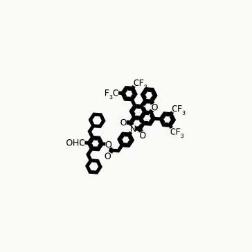 O=Cc1c(CC2CCCCC2)cc(OC(=O)Cc2ccc(-n3c(=O)c4cc(-c5cc(C(F)(F)F)cc(C(F)(F)F)c5)c5oc6ccccc6c6c(-c7cc(C(F)(F)F)cc(C(F)(F)F)c7)cc(c3=O)c4c56)cc2)cc1CC1CCCCC1